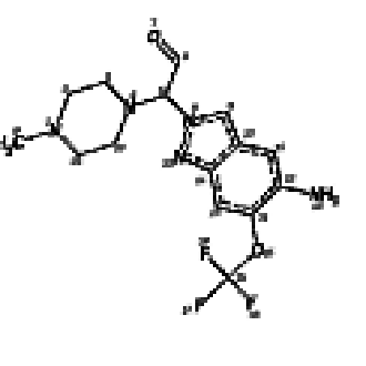 CN1CCN(C(C=O)n2cc3cc(N)c(OC(F)(F)F)cc3n2)CC1